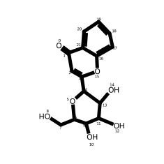 O=c1cc(C2OC(CO)C(O)C(O)C2O)oc2ccccc12